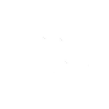 O=S1(=O)NC(CS)C2CCCCN2c2ncc(C(F)(F)F)cc21